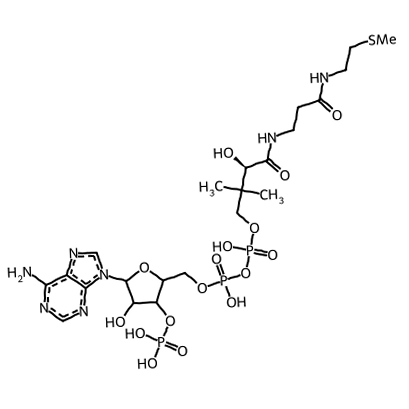 CSCCNC(=O)CCNC(=O)[C@H](O)C(C)(C)COP(=O)(O)OP(=O)(O)OCC1OC(n2cnc3c(N)ncnc32)C(O)C1OP(=O)(O)O